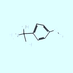 CCOc1ccc(C(C)(C)N)cc1